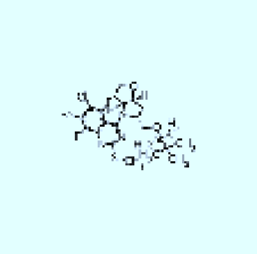 CSc1nc(N2[C@@H](CO[Si](C)(C)C(C)(C)C)C[C@H]3OCC[C@H]32)c2c(F)c(Cl)c(Br)c(F)c2n1